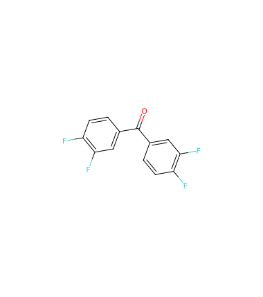 O=C(c1ccc(F)c(F)c1)c1ccc(F)c(F)c1